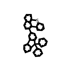 c1ccc(C2(c3ccccc3)c3ccccc3-c3cc(-c4ccc5cccc6c5c4-c4ccccc4S6)ccc32)cc1